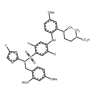 COc1ccc(CN(c2ncc(F)s2)S(=O)(=O)c2cc(Cl)c(Nc3ccc(OC)cc3N(C)CCN(C)C(=O)O)cc2F)c(OC)c1